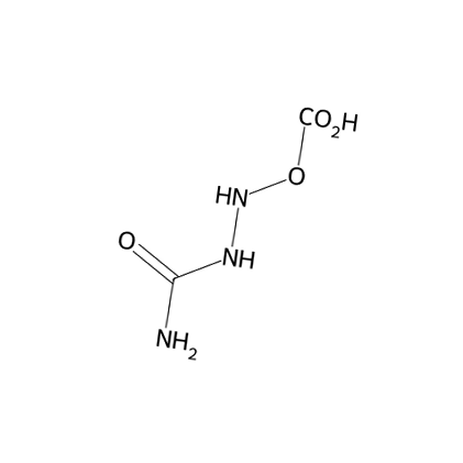 NC(=O)NNOC(=O)O